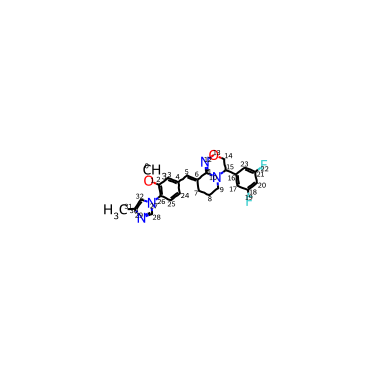 COc1cc(/C=C2\CCCN3C2=NOCC3c2cc(F)cc(F)c2)ccc1-n1cnc(C)c1